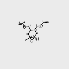 C=COCC1C[C@@H]2OC2(C)CC1COC=C